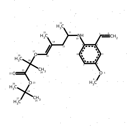 C=Cc1cc(OC)ccc1NC(C)C/C(C)=C/OC(C)(C)C(=O)OC(C)(C)C